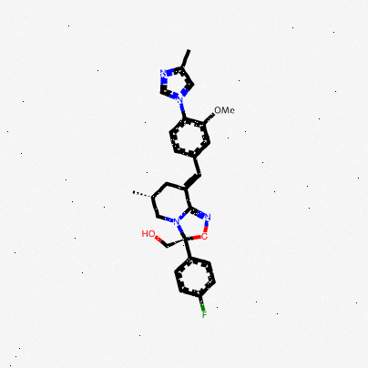 COc1cc(/C=C2\C[C@@H](C)CN3C2=NO[C@]3(CO)c2ccc(F)cc2)ccc1-n1cnc(C)c1